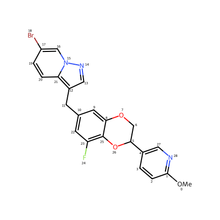 COc1ccc(C2COc3cc(Cc4cnn5cc(Br)ccc45)cc(F)c3O2)cn1